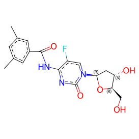 Cc1cc(C)cc(C(=O)Nc2nc(=O)n([C@H]3C[C@H](O)[C@@H](CO)O3)cc2F)c1